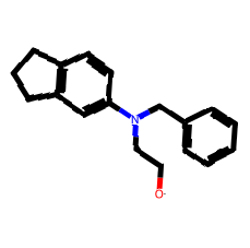 [O]CCN(Cc1ccccc1)c1ccc2c(c1)CCC2